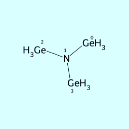 [GeH3][N]([GeH3])[GeH3]